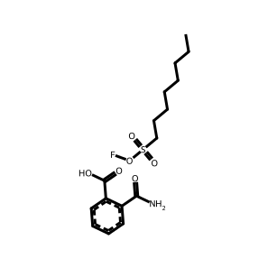 CCCCCCCCS(=O)(=O)OF.NC(=O)c1ccccc1C(=O)O